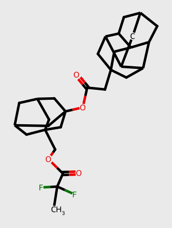 CC(F)(F)C(=O)OCC12CC3CC(C1)CC(OC(=O)CC14CC5C6CC7CC5C(C1)C(C7)C6C4)(C3)C2